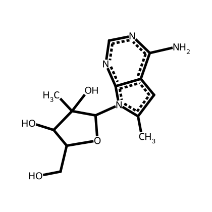 Cc1cc2c(N)ncnc2n1C1OC(CO)C(O)C1(C)O